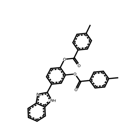 Cc1ccc(C(=O)Oc2ccc(-c3nc4ccccc4[nH]3)cc2OC(=O)c2ccc(C)cc2)cc1